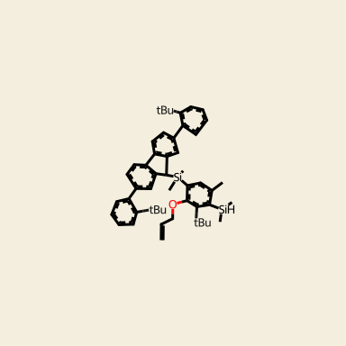 C=CCOc1c([Si](C)(C)C2c3cc(-c4ccccc4C(C)(C)C)ccc3-c3ccc(-c4ccccc4C(C)(C)C)cc32)cc(C)c([SiH](C)C)c1C(C)(C)C